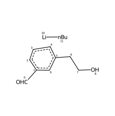 O=Cc1cccc(CCO)c1.[Li][CH2]CCC